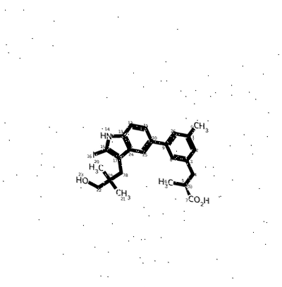 Cc1cc(C[C@H](C)C(=O)O)cc(-c2ccc3[nH]c(I)c(CC(C)(C)CO)c3c2)c1